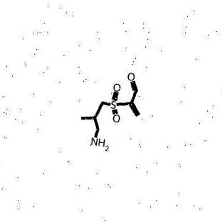 C=C(C=O)S(=O)(=O)CC(C)CN